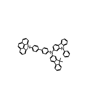 CC1(C)c2ccccc2-c2ccc(N(c3ccc(-c4ccc(-n5c6cccc7ccc8cccc5c8c76)cc4)cc3)c3ccc4c5ccccc5n(-c5ccccc5)c4c3)cc21